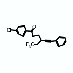 O=C(CCC(C#Cc1ccccc1)CC(F)(F)F)c1ccc(Cl)cc1